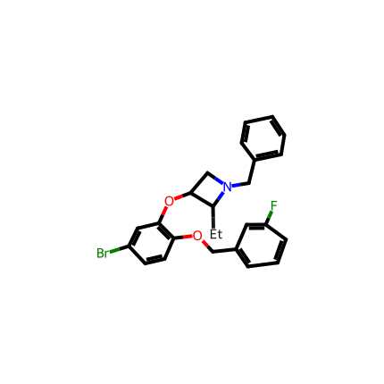 CCC1C(Oc2cc(Br)ccc2OCc2cccc(F)c2)CN1Cc1ccccc1